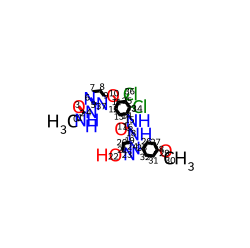 CNC(=O)Nc1nccc(Oc2ccc(NC(=O)Nc3cc(O)nn3-c3ccc(OC)cc3)c(Cl)c2Cl)n1